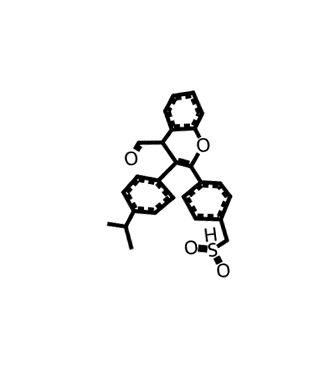 CC(C)c1ccc(C2=C(c3ccc(C[SH](=O)=O)cc3)Oc3ccccc3C2C=O)cc1